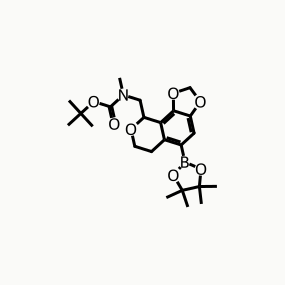 CN(CC1OCCc2c(B3OC(C)(C)C(C)(C)O3)cc3c(c21)OCO3)C(=O)OC(C)(C)C